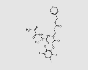 C[C@H](NC(=O)C(N)=O)C(=O)N[C@@H](CCC(=O)OCc1ccccc1)C(=O)COc1c(F)c(F)cc(F)c1F